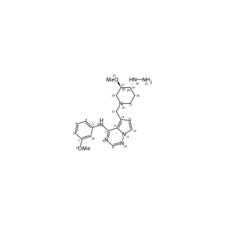 COc1cccc(Nc2ncnn3ccc(CN4CC[C@@H](NN)[C@H](OC)C4)c23)c1